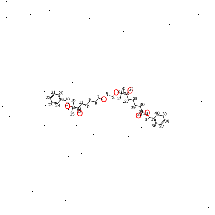 CC(C)(OCCOCCCCCC(=O)C(C)(C)OCc1ccccc1)C(=O)CCCCC(=O)OCc1ccccc1